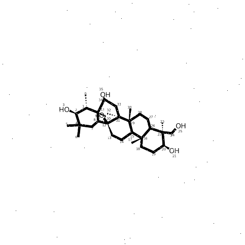 C[C@H]1[C@H](O)C(C)(C)CC2[C@]13CO[C@@]21CCC2[C@@]4(C)CC[C@H](O)[C@](C)(CO)C4CC[C@@]2(C)[C@]1(C)C[C@H]3O